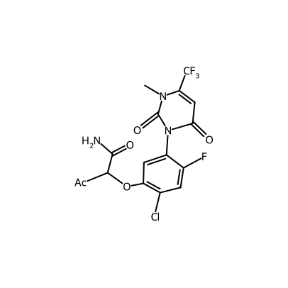 CC(=O)C(Oc1cc(-n2c(=O)cc(C(F)(F)F)n(C)c2=O)c(F)cc1Cl)C(N)=O